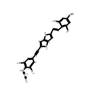 CCCc1cc(F)c(/C=C/c2cc3sc(C#Cc4cc(F)c(N=C=S)c(F)c4)cc3s2)c(F)c1